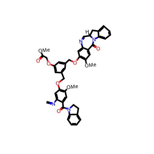 C=Nc1cc(OCc2cc(COc3cc4c(cc3OC)C(=O)N3c5ccccc5C[C@H]3C=N4)cc(OCC(=O)OC)c2)c(OC)cc1C(=O)N1CCc2ccccc21